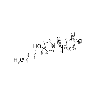 CCCCCCC1(O)CCN(C(=O)Nc2ccc(Cl)c(Cl)c2)CC1